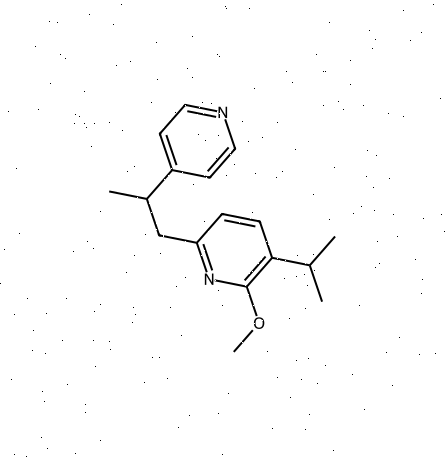 COc1nc(CC(C)c2ccncc2)ccc1C(C)C